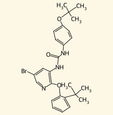 CC(C)(C)Oc1ccc(NC(=O)Nc2cc(Br)cnc2Oc2ccccc2C(C)(C)C)cc1